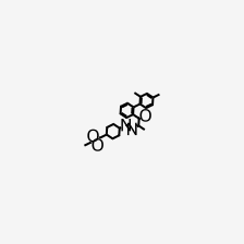 Cc1ccc(-c2cccc3c2c(=O)c(C)nn3C2CCC(C3OC(C)O3)CC2)c(C)c1